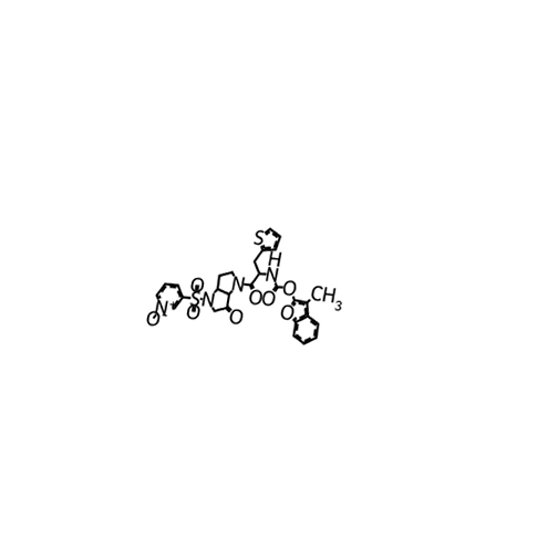 Cc1c(OC(=O)NC(Cc2cccs2)C(=O)N2CCC3C2C(=O)CN3S(=O)(=O)c2ccc[n+]([O-])c2)oc2ccccc12